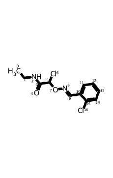 CCNC(=O)C(Cl)ON=Cc1ccccc1Cl